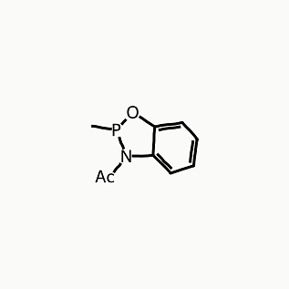 CC(=O)N1c2ccccc2OP1C